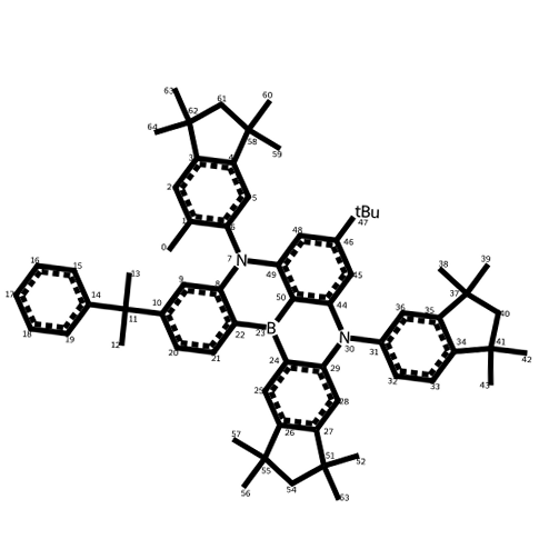 Cc1cc2c(cc1N1c3cc(C(C)(C)c4ccccc4)ccc3B3c4cc5c(cc4N(c4ccc6c(c4)C(C)(C)CC6(C)C)c4cc(C(C)(C)C)cc1c43)C(C)(C)CC5(C)C)C(C)(C)CC2(C)C